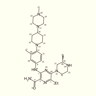 CCc1nc(C(N)=O)c(Nc2ccc(N3CCC(N4CCN(C)CC4)CC3)c(C)c2)nc1N1CCN[C@H](C)C1